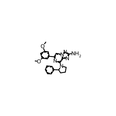 COc1cc(OC)cc(-c2cn3nc(N)nc3c(N3CCCC3c3ccccc3)n2)c1